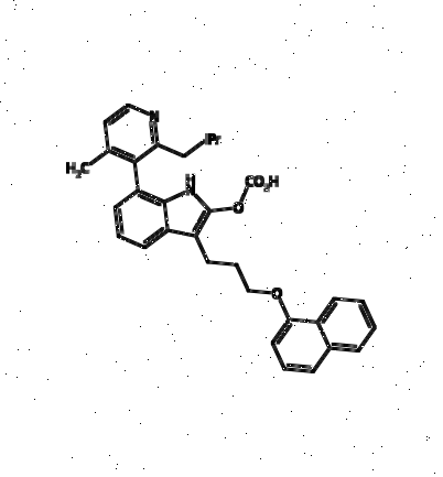 Cc1ccnc(CC(C)C)c1-c1cccc2c(CCCOc3cccc4ccccc34)c(OC(=O)O)[nH]c12